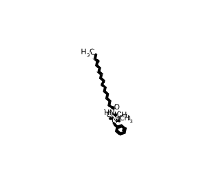 CCCCCCCCCCCCCCCCCC(=O)NC(C)[N+](CC)(CC)Cc1ccccc1